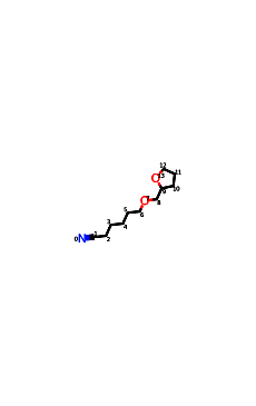 N#CCCCCCOCC1CCCO1